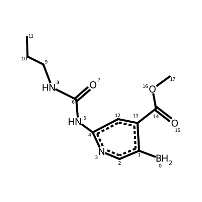 Bc1cnc(NC(=O)NCCC)cc1C(=O)OC